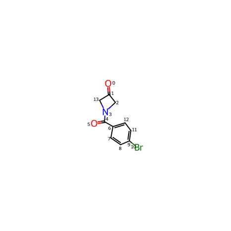 O=C1CN(C(=O)c2ccc(Br)cc2)C1